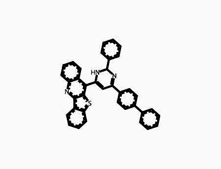 C1=C(c2c3ccccc3nc3c2sc2ccccc23)NC(c2ccccc2)N=C1c1ccc(-c2ccccc2)cc1